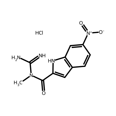 CN(C(=N)N)C(=O)c1cc2ccc([N+](=O)[O-])cc2[nH]1.Cl